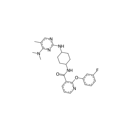 Cc1cnc(NC2CCC(NC(=O)c3cccnc3Oc3cccc(F)c3)CC2)nc1N(C)C